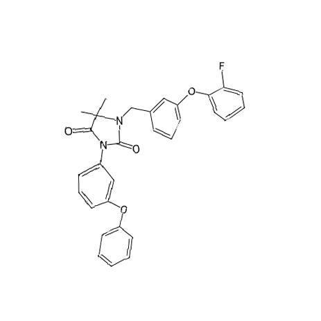 CC1(C)C(=O)N(c2cccc(Oc3ccccc3)c2)C(=O)N1Cc1cccc(Oc2ccccc2F)c1